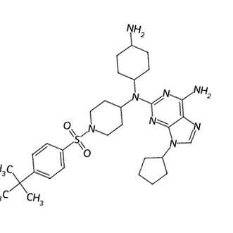 CC(C)(C)c1ccc(S(=O)(=O)N2CCC(N(c3nc(N)c4ncn(C5CCCC5)c4n3)C3CCC(N)CC3)CC2)cc1